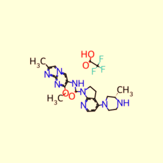 COc1nc2nc(C)cn2cc1NC(=O)N1CCc2c(N3CCN[C@@H](C)C3)ccnc21.O=C(O)C(F)(F)F